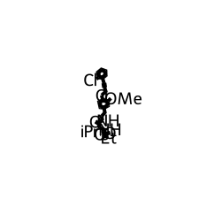 CCS(=O)(=O)NC(C(=O)NCCc1ccc(OCC#Cc2ccccc2Cl)c(OC)c1)C(C)C